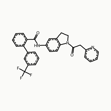 O=C(Nc1ccc2c(c1)CCN2C(=O)Cc1ccccn1)c1ccccc1-c1cccc(C(F)(F)F)c1